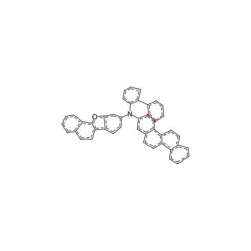 c1ccc(-c2ccccc2N(c2ccc3c(ccc4c5ccccc5ccc34)c2)c2ccc3c(c2)oc2c4ccccc4ccc32)cc1